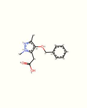 Cc1nn(C)c(CC(=O)O)c1OCc1ccccc1